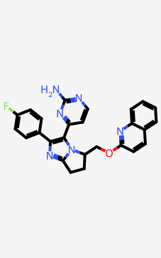 Nc1nccc(-c2c(-c3ccc(F)cc3)nc3n2C(COc2ccc4ccccc4n2)CC3)n1